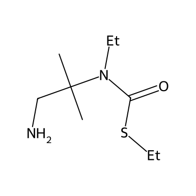 CCSC(=O)N(CC)C(C)(C)CN